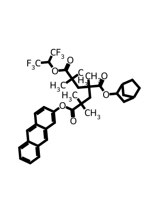 CC(C)(CC(C)(CC(C)(C)C(=O)OC(C(F)(F)F)C(F)(F)F)C(=O)OC1CC2CCC1C2)C(=O)Oc1ccc2cc3ccccc3cc2c1